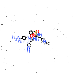 CC(=O)N1CCC(CC[C@@H](NS(=O)(=O)Cc2ccccc2)C(=O)N[C@@H](CCC2CCNCC2)C(=O)NCc2ccc(C(=N)N)cc2)CC1